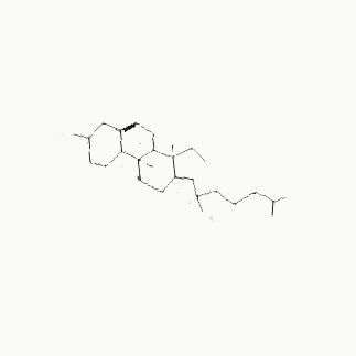 CC(C)CCC[C@@](C)(O)[C@H]1CC[C@H]2[C@@H]3CC=C4CC(O)CC[C@]4(C)[C@H]3CC[C@@]21C